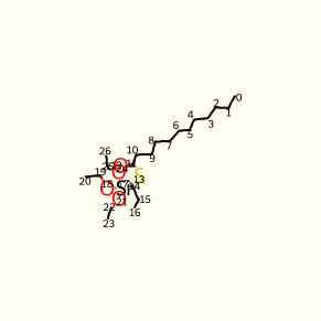 CCCCCCCCCCCC(=O)SC(CC)[Si](OCC)(OCC)OCC